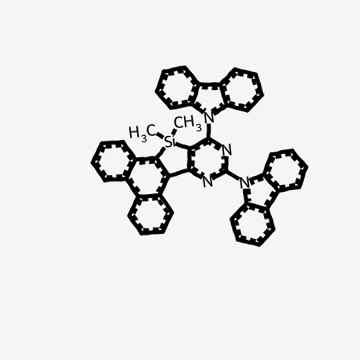 C[Si]1(C)c2c(nc(-n3c4ccccc4c4ccccc43)nc2-n2c3ccccc3c3ccccc32)-c2c1c1ccccc1c1ccccc21